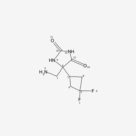 NCC1(C2CC(F)(F)C2)NC(=O)NC1=O